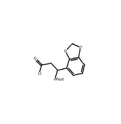 CCCCCC(CC(=O)Cl)c1cccc2c1OCO2